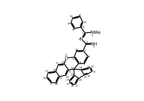 CN/C(=N\C(=N)c1ccc2c(c1)Oc1cc3ccccc3cc1C21c2ccccc2-c2ccccc21)c1ccccc1